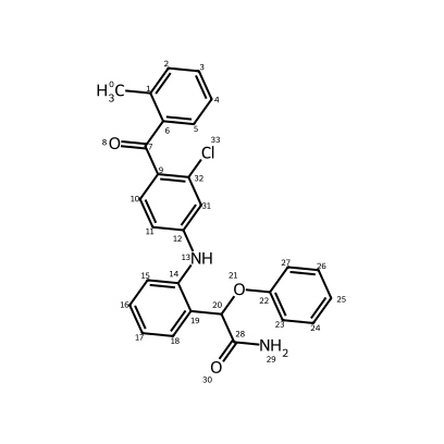 Cc1ccccc1C(=O)c1ccc(Nc2ccccc2C(Oc2ccccc2)C(N)=O)cc1Cl